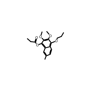 CCCOc1c(OC)c(OC)c(OC(=O)CC)c2cc(C)ccc12